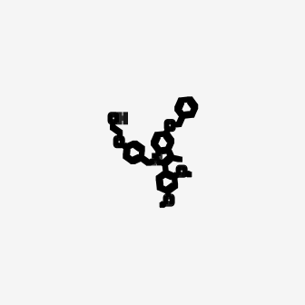 COc1ccc(-c2c(C)c3cc(OCc4ccccc4)ccc3n2Cc2ccc(OCCO)cc2)c(OC)c1